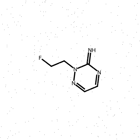 N=c1nccnn1CCF